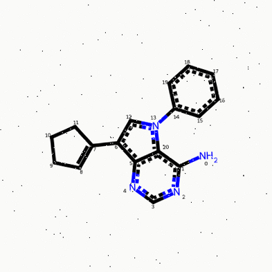 Nc1ncnc2c(C3=CCCC3)cn(-c3ccccc3)c12